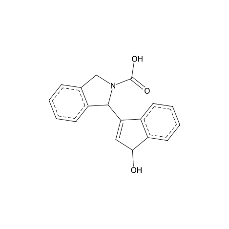 O=C(O)N1Cc2ccccc2C1C1=CC(O)c2ccccc21